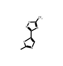 Cc1ncc(-c2noc(C(F)(F)F)n2)s1